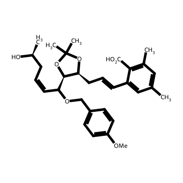 COc1ccc(COC(/C=C\C[C@H](C)O)[C@H]2OC(C)(C)O[C@H]2C/C=C/c2cc(C)cc(C)c2C(=O)O)cc1